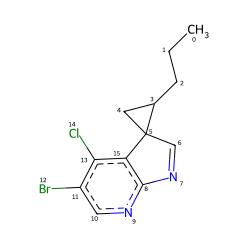 CCCC1CC12C=Nc1ncc(Br)c(Cl)c12